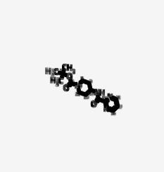 CC(C)(C)OC(=O)N1CCC(NC(=O)c2ncccn2)CC1